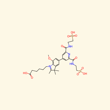 COc1cc(-c2cc(C(=O)NCCS(=O)(=O)O)nc(C(=O)NCCS(=O)(=O)O)c2)cc2c1[N+](CCCCCC(=O)O)=C(C)C2(C)C